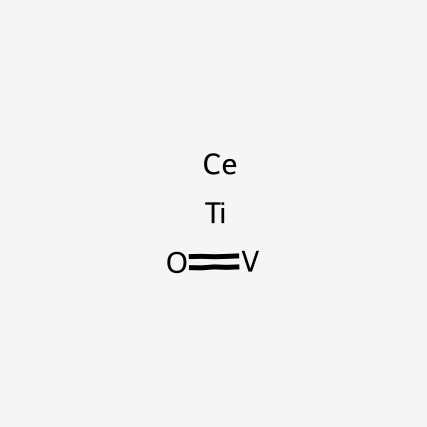 [Ce].[O]=[V].[Ti]